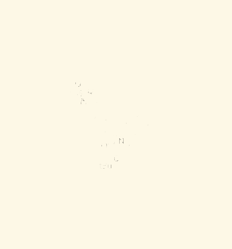 Cc1ccc2c(c1)C(C)(C)c1ccc(CCOS(C)(=O)=O)cc1N2C(=O)OC(C)(C)C